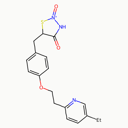 CCc1ccc(CCOc2ccc(CC3S[N+](=O)NC3=O)cc2)nc1